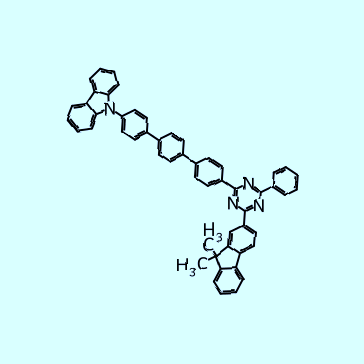 CC1(C)c2ccccc2-c2ccc(-c3nc(-c4ccccc4)nc(-c4ccc(-c5ccc(-c6ccc(-n7c8ccccc8c8ccccc87)cc6)cc5)cc4)n3)cc21